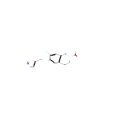 CC(C)(C)OC(=O)N1CCc2cc(OCc3cnco3)c(Cl)cc2C1